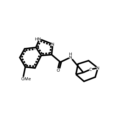 COc1ccc2[nH]nc(C(=O)NC3CN4CCC3CC4)c2c1